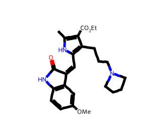 CCOC(=O)c1c(C)[nH]c(C=C2C(=O)Nc3ccc(OC)cc32)c1CCCN1CCCC1